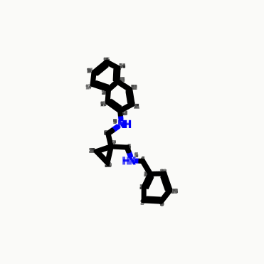 c1ccc(CNCC2(CNc3ccc4ccccc4c3)CC2)cc1